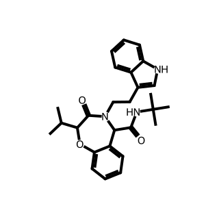 CC(C)C1Oc2ccccc2C(C(=O)NC(C)(C)C)N(CCc2c[nH]c3ccccc23)C1=O